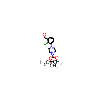 CC(C)(C)OC(=O)N1CCN(c2cccc(C=O)c2F)CC1